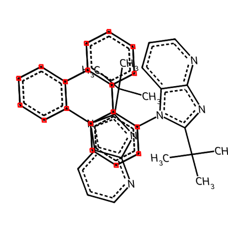 CC(C)(C)c1nc2ncccc2n1-c1ccccc1-c1ccccc1-c1ccccc1-c1ccccc1-c1ccccc1-c1ccccc1-n1c(C(C)(C)C)nc2ncccc21